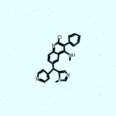 CNc1c(-c2ccccc2)c(Cl)nc2ccc(C(c3ccncc3)c3cncn3C)cc12